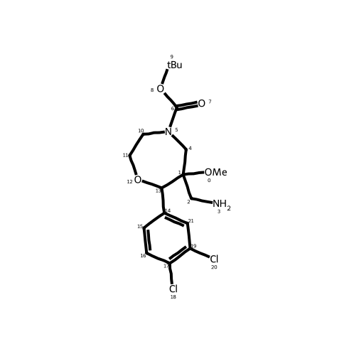 COC1(CN)CN(C(=O)OC(C)(C)C)CCOC1c1ccc(Cl)c(Cl)c1